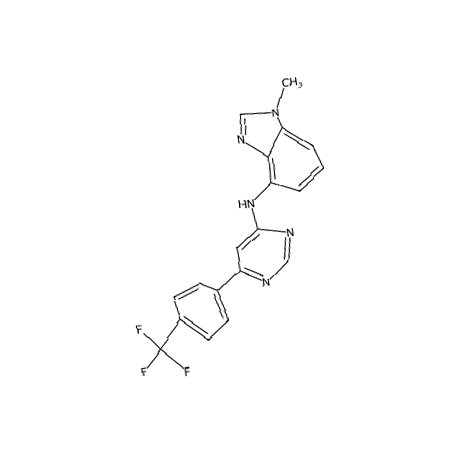 Cn1cnc2c(Nc3cc(-c4ccc(C(F)(F)F)cc4)ncn3)cccc21